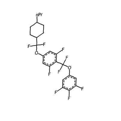 CCCC1CCC(C(F)(F)Oc2cc(F)c(C(F)(F)Oc3cc(F)c(F)c(F)c3)c(F)c2)CC1